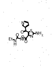 CCNC(=O)NOC(=O)c1nc(N)sc1C(=O)c1cccnc1